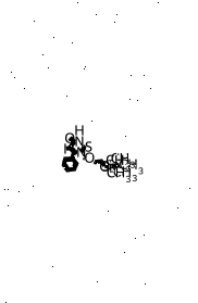 CC(C)(C)[Si](C)(C)OCCOCn1c(-c2ccccc2)c(I)c(=O)[nH]c1=S